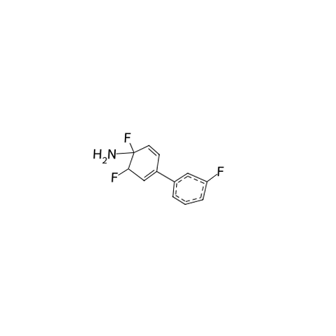 NC1(F)C=CC(c2cccc(F)c2)=CC1F